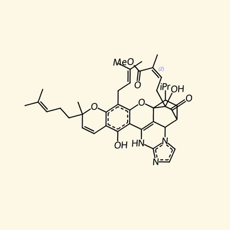 COC(=O)/C(C)=C\CC1(O)C(=O)C2CC(C(C)C)C13Oc1c(CC=C(C)C)c4c(c(O)c1C1=C3C2n2ccnc2N1)C=CC(C)(CCC=C(C)C)O4